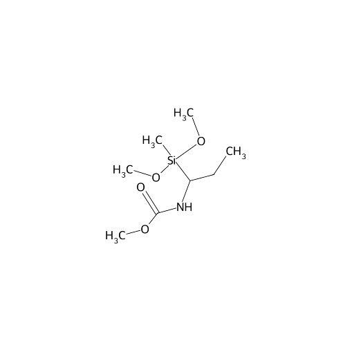 CCC(NC(=O)OC)[Si](C)(OC)OC